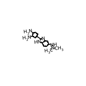 CN(C)Nc1ccc2[nH]c(-c3ccc(N)c(N)c3)nc2c1